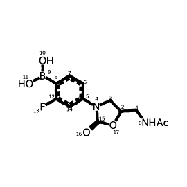 CC(=O)NCC1CN(c2ccc(B(O)O)c(F)c2)C(=O)O1